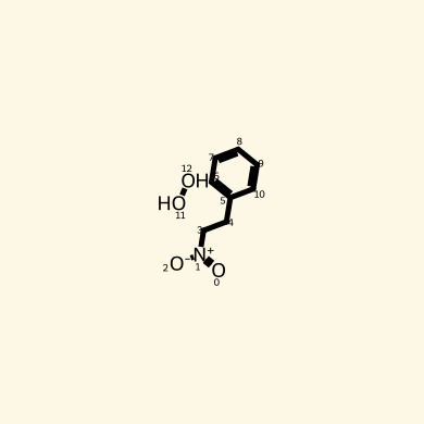 O=[N+]([O-])CCc1ccccc1.OO